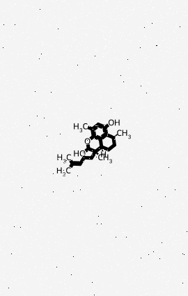 CC(C)=CCC[C@]1(C)C(O)Oc2c(C)cc(O)c3c2[C@H]1CC[C@H]3C